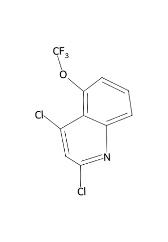 FC(F)(F)Oc1cccc2nc(Cl)cc(Cl)c12